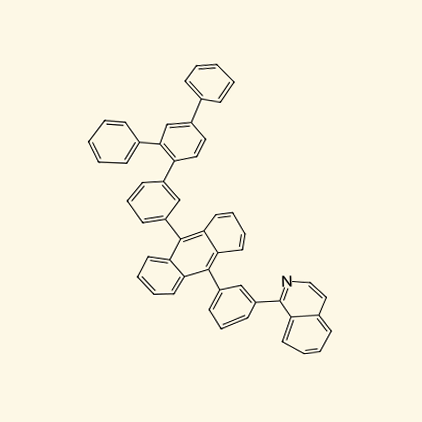 c1ccc(-c2ccc(-c3cccc(-c4c5ccccc5c(-c5cccc(-c6nccc7ccccc67)c5)c5ccccc45)c3)c(-c3ccccc3)c2)cc1